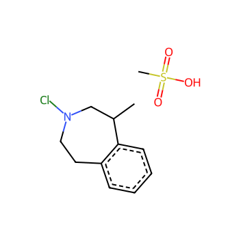 CC1CN(Cl)CCc2ccccc21.CS(=O)(=O)O